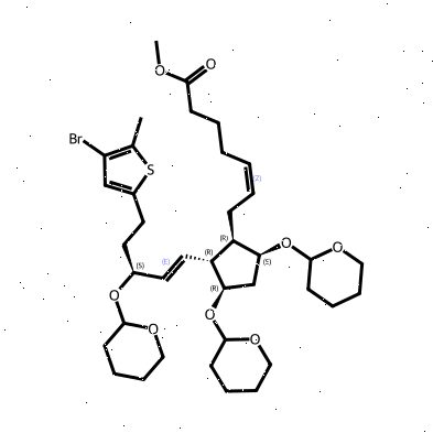 COC(=O)CCC/C=C\C[C@@H]1[C@@H](/C=C/[C@H](CCc2cc(Br)c(C)s2)OC2CCCCO2)[C@H](OC2CCCCO2)C[C@@H]1OC1CCCCO1